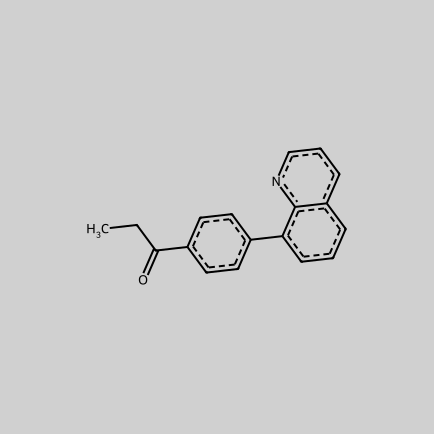 CCC(=O)c1ccc(-c2cccc3cccnc23)cc1